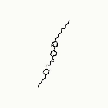 CCCCCCCCCc1ccc(-c2ccc(OCCC[C@H]3CC[C@H](CCCCC)CC3)cc2)nc1